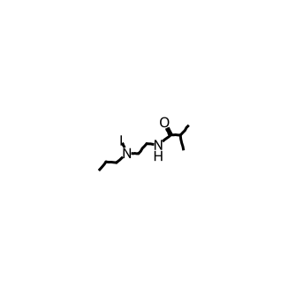 CCCN(I)CCNC(=O)C(C)C